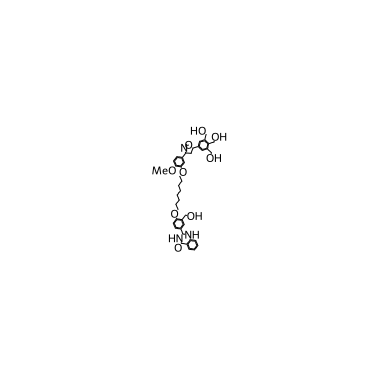 COc1ccc(C2=NOC(c3cc(CO)c(CO)c(CO)c3)C2)cc1OCCCCCCCCOc1ccc(C2NC(=O)c3ccccc3N2)cc1CO